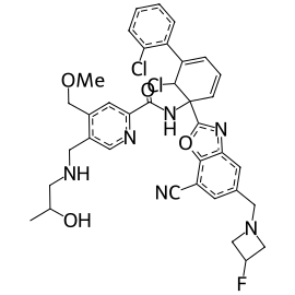 COCc1cc(C(=O)NC2(c3nc4cc(CN5CC(F)C5)cc(C#N)c4o3)C=CC=C(c3ccccc3Cl)C2Cl)ncc1CNCC(C)O